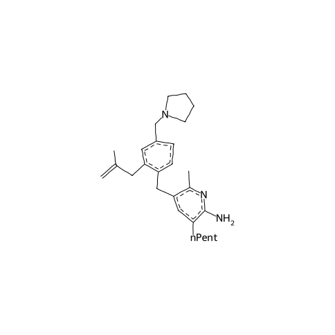 C=C(C)Cc1cc(CN2CCCC2)ccc1Cc1cc(CCCCC)c(N)nc1C